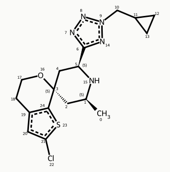 C[C@H]1C[C@@]2(C[C@@H](c3nnn(CC4CC4)n3)N1)OCCc1cc(Cl)sc12